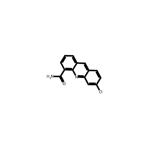 NC(=O)c1cccc2cc3ccc(Cl)cc3nc12